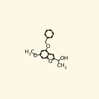 COc1cc(OCc2ccccc2)c2cc(C(C)O)oc2c1